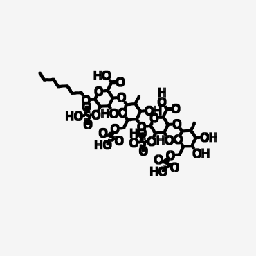 CCCCCCCOC1OC(C(=O)O)C(OC2OC(COS(=O)(=O)O)C(OC3OC(C(=O)O)C(OC4OC(COS(=O)(=O)O)C(O)C(O)C4C)C(O)C3OS(=O)(=O)O)C(O)C2C)C(O)C1OS(=O)(=O)O